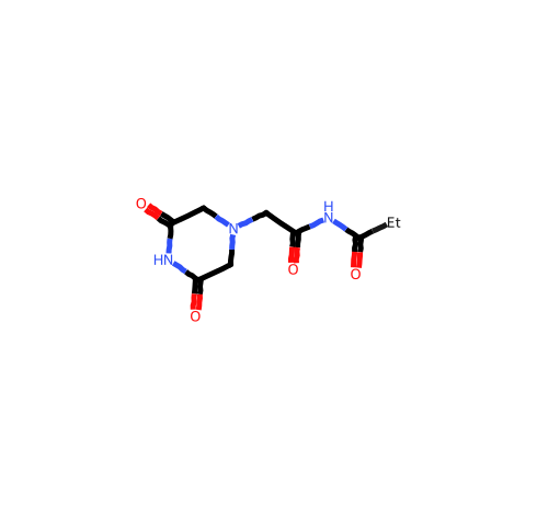 CCC(=O)NC(=O)CN1CC(=O)NC(=O)C1